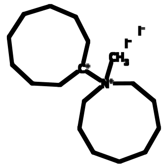 C[N+]1([C+]2CCCCCCCC2)CCCCCCCC1.[I-].[I-]